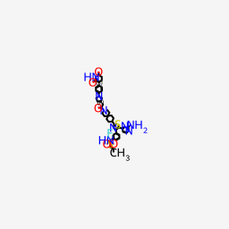 CCCS(=O)(=O)Nc1cccc(-c2nc(C3CCC4(CC3)CCN(C(=O)C[C@H]3CCN(c5ccc([C@@H]6CCC(=O)NC6=O)cc5)C3)CC4)sc2-c2ccnc(N)n2)c1F